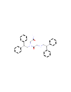 NC(=O)CN(CC(c1ccccc1)c1ccccc1)C(=O)CNCC(c1ccccc1)c1ccccc1